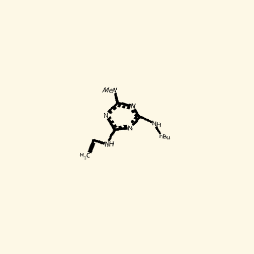 C=CNc1nc(NC)nc(NCCCC)n1